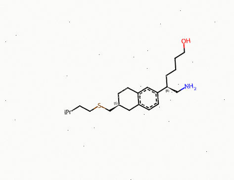 CC(C)CCSC[C@H]1CCc2cc([C@H](CN)CCCCO)ccc2C1